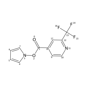 O=C(On1cccc1)c1ccnc(C(F)(F)F)c1